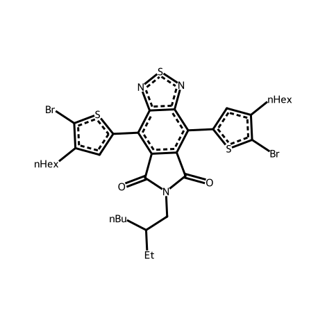 CCCCCCc1cc(-c2c3c(c(-c4cc(CCCCCC)c(Br)s4)c4nsnc24)C(=O)N(CC(CC)CCCC)C3=O)sc1Br